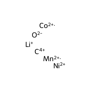 [C+4].[Co+2].[Li+].[Mn+2].[Ni+2].[O-2]